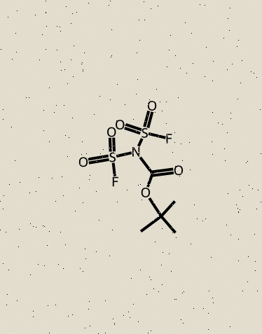 CC(C)(C)OC(=O)N(S(=O)(=O)F)S(=O)(=O)F